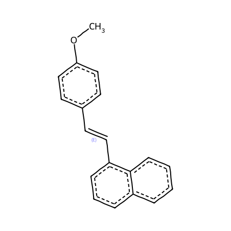 COc1ccc(/C=C/c2cccc3ccccc23)cc1